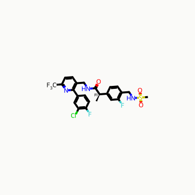 C[C@@H](C(=O)NCc1ccc(C(F)(F)F)nc1-c1ccc(F)c(Cl)c1)c1ccc(CNS(C)(=O)=O)c(F)c1